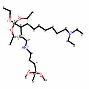 CCO[Si](OCC)(OCC)C(CCCCCCCN(CC)CC)[SiH2]CNCCC[Si](C)(OC)OC